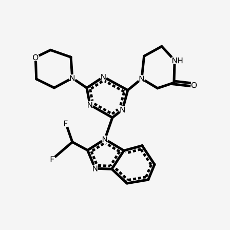 O=C1CN(c2nc(N3CCOCC3)nc(-n3c(C(F)F)nc4ccccc43)n2)CCN1